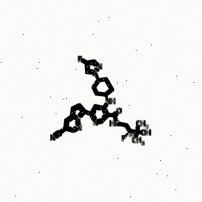 CC(C)(O)[C@H](F)CNC(=O)c1cnc(-c2ccc3cc(C#N)cnn23)cc1N[C@H]1CC[C@H](n2cc(F)cn2)CC1